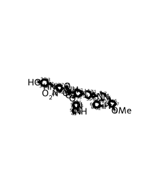 COc1ccc(CN2CCN(C3CC4(CCN(c5ccc(C(=O)NS(=O)(=O)c6ccc(NCC7CCC(O)CC7)c([N+](=O)[O-])c6)c(Oc6cnc7[nH]ccc7c6)c5)CC4)C3)[C@H](c3ccccc3C(C)C)C2)cc1